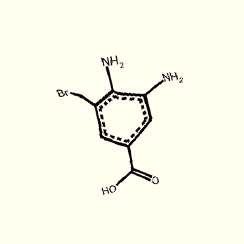 Nc1cc(C(=O)O)cc(Br)c1N